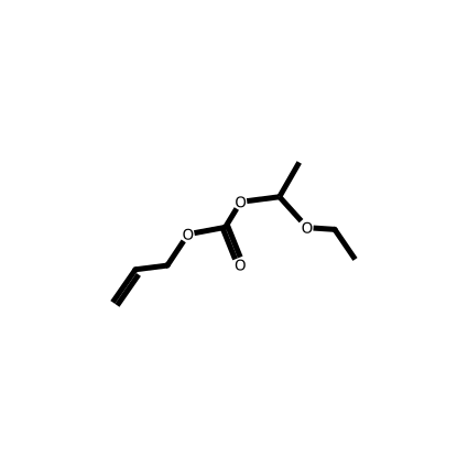 C=CCOC(=O)OC(C)OCC